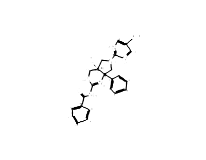 O=C(NC1=NC2(c3ccccc3)CN(c3ncc(F)cn3)C[C@H]2CS1)c1ccccc1